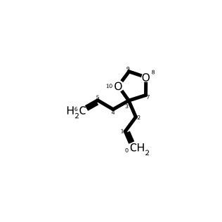 C=CCC1(CC=C)COCO1